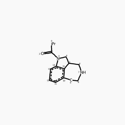 CC(C)C(=O)N1CC2CNCCc3cccc1c32